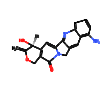 C=C1OCc2c(cc3n(c2=O)Cc2cc4c(N)cccc4nc2-3)[C@@]1(O)CC